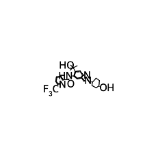 CC(C)(O)c1cc2nn([C@H]3CC[C@@H](O)CC3)cc2cc1NC(=O)c1cccc(C(F)(F)F)n1